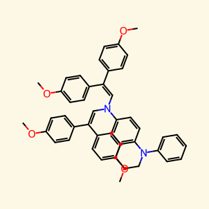 COc1ccc(C(=CN(C=C(c2ccc(OC)cc2)c2ccc(OC)cc2)c2ccc3c(c2)CCCN3c2ccccc2)c2ccc(OC)cc2)cc1